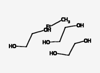 CCC.OCCO.OCCO.OCCO